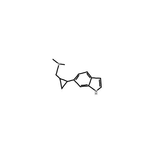 CN(C)CC1CC1c1ccc2cc[nH]c2c1